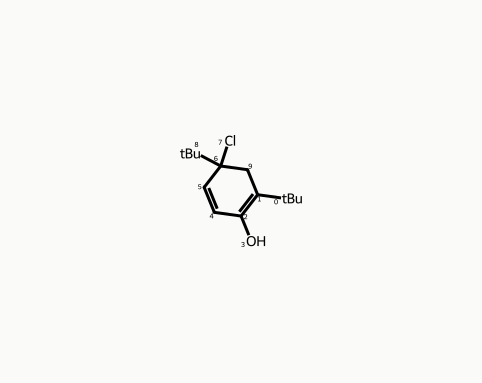 CC(C)(C)C1=C(O)C=CC(Cl)(C(C)(C)C)C1